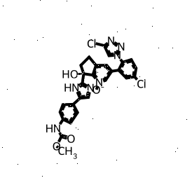 COC(=O)Nc1ccc(-c2cnc([C@]3(O)CCc4cc(-c5cc(Cl)ccc5-n5cc(Cl)nn5)c[n+]([O-])c43)[nH]2)cc1